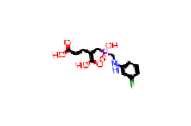 O=C(O)CCC(CP(=O)(O)CNc1cccc(F)c1)C(=O)O